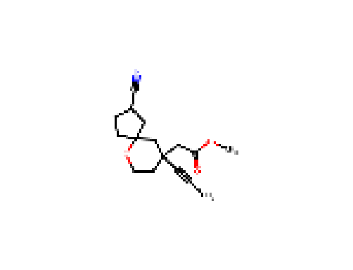 CC#CC1(CC(=O)OC)CCOC2(CCC(C#N)C2)C1